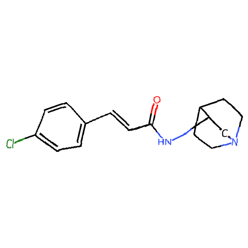 O=C(C=Cc1ccc(Cl)cc1)NC1CN2CCC1CC2